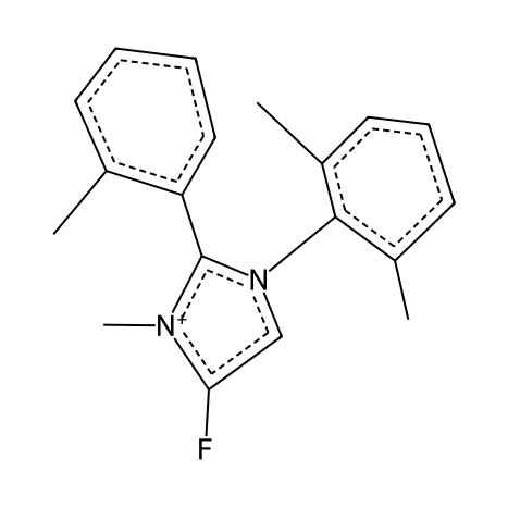 Cc1ccccc1-c1n(-c2c(C)cccc2C)cc(F)[n+]1C